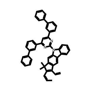 C=CC1=C(/C=C\C)C(C)(C)c2cc3c(cc21)c1ccccc1n3-c1nc(-c2cccc(-c3ccccc3)c2)cc(-c2cccc(-c3ccccc3)c2)n1